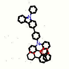 c1ccc(-n2c3ccccc3c3cc(-c4ccc(N(c5ccccc5-c5cccc6cccc(C7CCCCC7)c56)c5cccc6c5oc5ccccc56)cc4)ccc32)cc1